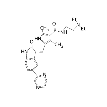 CCN(CC)CCNC(=O)c1c(C)[nH]c(/C=C2\C(=O)Nc3ccc(-c4cnccn4)cc32)c1C